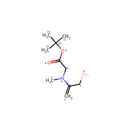 BCC(=C)N(C)CC(=O)OC(C)(C)C